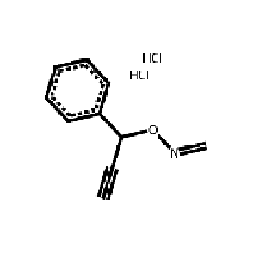 C#CC(ON=C)c1ccccc1.Cl.Cl